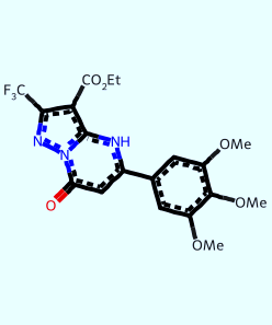 CCOC(=O)c1c(C(F)(F)F)nn2c(=O)cc(-c3cc(OC)c(OC)c(OC)c3)[nH]c12